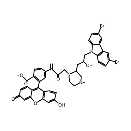 O=C(CN1CCNCC1CC(O)Cn1c2ccc(Br)cc2c2cc(Br)ccc21)Nc1ccc(C(=O)O)c(-c2c3ccc(=O)cc-3oc3cc(O)ccc23)c1